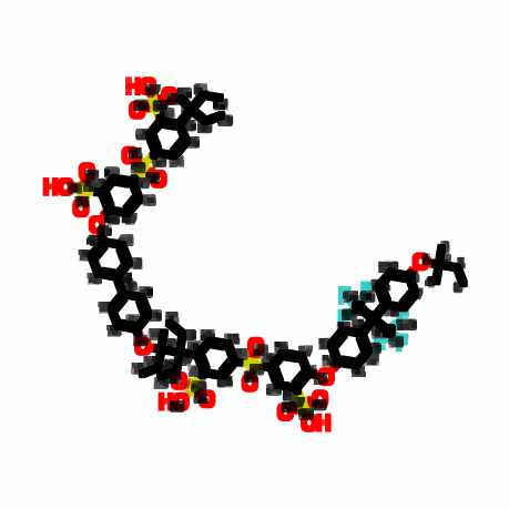 CCC(C)(C)Oc1ccc(C(c2ccc(Oc3ccc(S(=O)(=O)c4ccc(C(CC)(CC)C(C)(CC)Oc5ccc(-c6ccc(Oc7ccc(S(=O)(=O)c8ccc(C(C)(CC)CC)c(S(=O)(=O)O)c8)cc7S(=O)(=O)O)cc6)cc5)c(S(=O)(=O)O)c4)cc3S(=O)(=O)O)cc2)(C(F)(F)F)C(F)(F)F)cc1